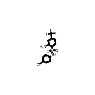 Nc1cc(C(F)(F)F)ccc1S(=O)(=O)Nc1ccc(Cl)cc1